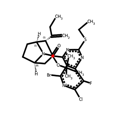 C=C(CC)[C@H]1[C@@H]2CC[C@H](CN1c1nc(SCC)nc3c(F)c(Cl)nc(Br)c13)N2C(=O)OC(C)(C)C